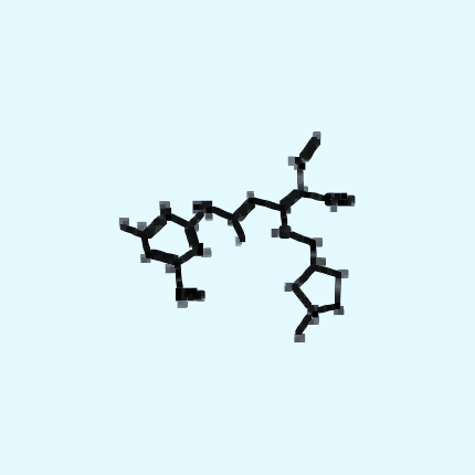 C=N/C(OC)=C(\C=C(/C)Nc1nc(C)cc(NC)n1)OCC1CCN(C)C1